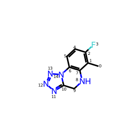 Cc1c(F)ccc2c1NCc1nnnn1-2